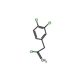 C=C(Cl)Cc1ccc(Cl)c(Cl)c1